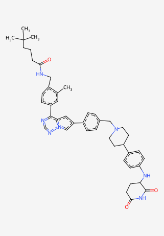 Cc1cc(-c2ncnn3cc(-c4ccc(CN5CCC(c6ccc(NC7CCC(=O)NC7=O)cc6)CC5)cc4)cc23)ccc1CNC(=O)CCCC(C)(C)C